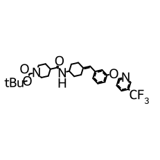 CC(C)(C)OC(=O)N1CCC(C(=O)NC2CCC(=Cc3cccc(Oc4ccc(C(F)(F)F)cn4)c3)CC2)CC1